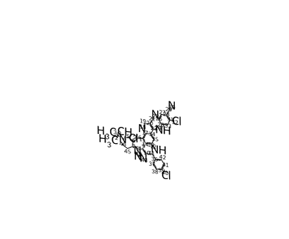 CC(C)(C)N1CCC(n2cc(C(Nc3cc(Cl)c4ncc(C#N)c(Nc5ccc(C#N)c(Cl)c5)c4c3)c3ccc(Cl)cc3)nn2)CC1